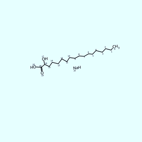 CCCCCCCCCCCCCCCCC(O)C(=O)O.[NaH]